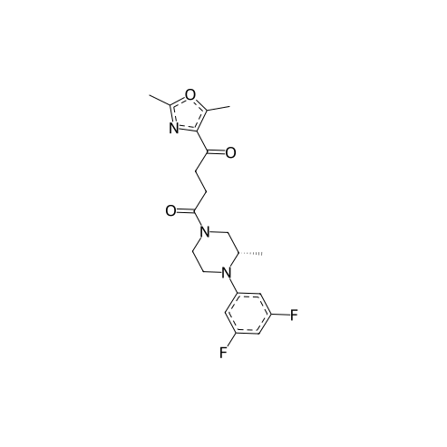 Cc1nc(C(=O)CCC(=O)N2CCN(c3cc(F)cc(F)c3)[C@@H](C)C2)c(C)o1